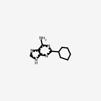 Nc1nc(C2CCCCC2)nc2[nH]cnc12